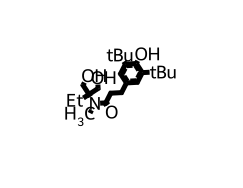 CCC(CO)(CO)N(C)C(=O)CCc1cc(C(C)(C)C)c(O)c(C(C)(C)C)c1